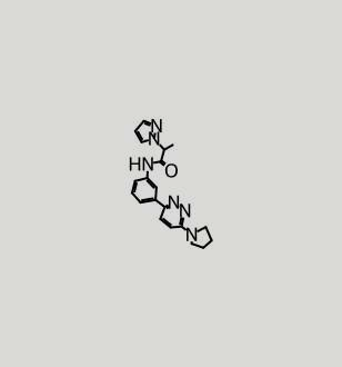 CC(C(=O)Nc1cccc(-c2ccc(N3CCCC3)nn2)c1)n1cccn1